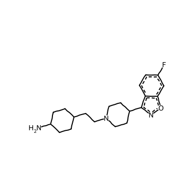 NC1CCC(CCN2CCC(c3noc4cc(F)ccc34)CC2)CC1